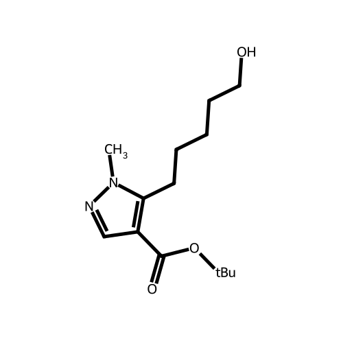 Cn1ncc(C(=O)OC(C)(C)C)c1CCCCCO